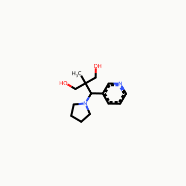 CC(CO)(CO)C(c1cccnc1)N1CCCC1